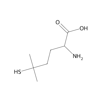 CC(C)(S)CCC(N)C(=O)O